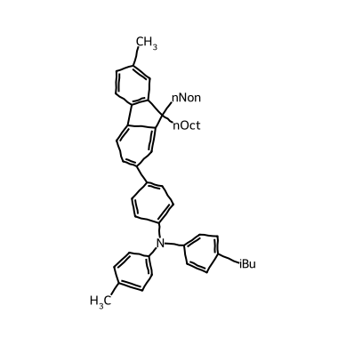 CCCCCCCCCC1(CCCCCCCC)c2cc(C)ccc2-c2ccc(-c3ccc(N(c4ccc(C)cc4)c4ccc(C(C)CC)cc4)cc3)cc21